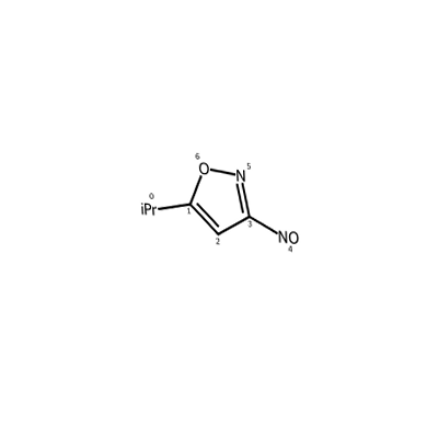 CC(C)c1cc(N=O)no1